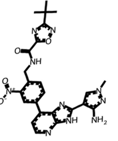 Cn1cc(-c2nc3c(-c4ccc(CNC(=O)c5nc(C(C)(C)C)no5)c([N+](=O)[O-])c4)ccnc3[nH]2)c(N)n1